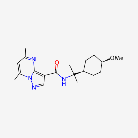 CO[C@H]1CC[C@@H](C(C)(C)NC(=O)c2cnn3c(C)cc(C)nc23)CC1